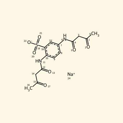 CC(=O)CC(=O)Nc1ccc(NC(=O)CC(C)=O)c(S(=O)(=O)[O-])c1.[Na+]